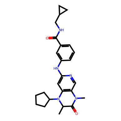 CC1C(=O)N(C)c2cnc(Nc3cccc(C(=O)NCC4CC4)c3)cc2N1C1CCCC1